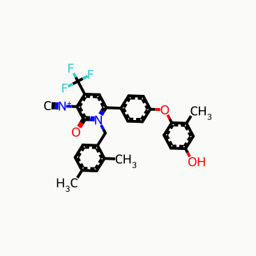 [C-]#[N+]c1c(C(F)(F)F)cc(-c2ccc(Oc3ccc(O)cc3C)cc2)n(Cc2ccc(C)cc2C)c1=O